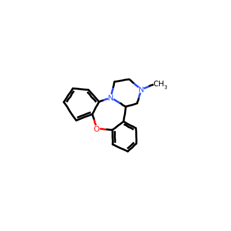 CN1CCN2c3ccccc3Oc3ccccc3C2C1